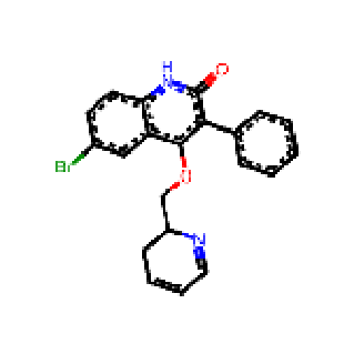 O=c1[nH]c2ccc(Br)cc2c(OCC2CC=CC=N2)c1-c1ccccc1